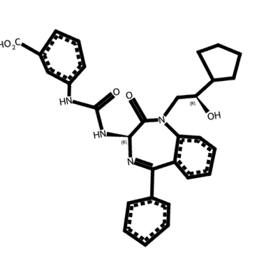 O=C(Nc1cccc(C(=O)O)c1)N[C@@H]1N=C(c2ccccc2)c2ccccc2N(C[C@H](O)C2CCCC2)C1=O